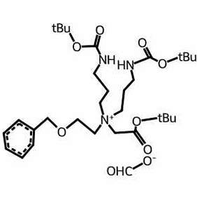 CC(C)(C)OC(=O)C[N+](CCCNC(=O)OC(C)(C)C)(CCCNC(=O)OC(C)(C)C)CCOCc1ccccc1.O=C[O-]